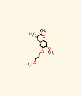 COCCCOc1cc(C[C@H](C)C(C)=O)ccc1OC